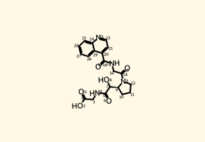 O=C(O)CNC(=O)C(O)[C@@H]1CCCN1C(=O)CNC(=O)c1ccnc2ccccc12